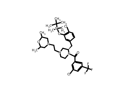 CC1CN(CCN2CCN(C(=O)c3cc(Cl)cc(C(F)(F)F)c3)[C@H](Cc3ccc(Cl)c(O[Si](C)(C)C(C)(C)C)c3)C2)CC(C)O1